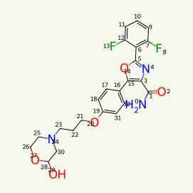 NC(=O)c1nc(-c2c(F)cccc2F)oc1-c1ccc(OCCCN2CCOC(O)C2)cc1